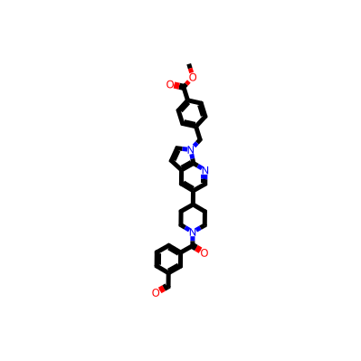 COC(=O)c1ccc(Cn2ccc3cc(C4CCN(C(=O)c5cccc(C=O)c5)CC4)cnc32)cc1